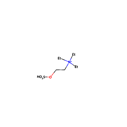 CC[N+](CC)(CC)CCOS(=O)(=O)O